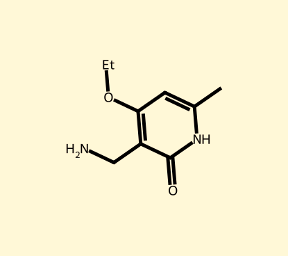 CCOc1cc(C)[nH]c(=O)c1CN